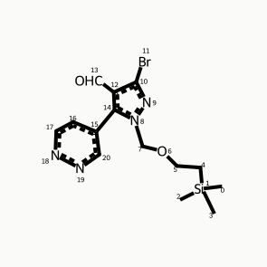 C[Si](C)(C)CCOCn1nc(Br)c(C=O)c1-c1ccnnc1